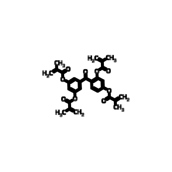 C=C(C)C(=O)Oc1cc(OC(=O)C(=C)C)cc(C(=O)c2ccc(OC(=O)C(=C)C)cc2OC(=O)C(=C)C)c1